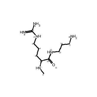 CNC(CCCNC(=N)N)C(=O)NCCCN